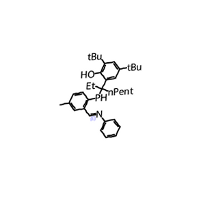 CCCCCC(CC)(Pc1ccc(C)cc1/C=N/c1ccccc1)c1cc(C(C)(C)C)cc(C(C)(C)C)c1O